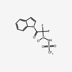 O=C(n1ccc2ccccc21)C(F)(F)[S+]([O-])NS(=O)(=O)C(F)(F)F